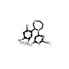 CCOC(=O)c1cc(C2COCCCN2c2cc(C)nc(N)n2)c(Cl)cc1C#N